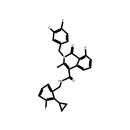 Cc1c(C(=O)NCc2cccc(F)c2C2CC2)c2cccc(F)c2c(=O)n1Cc1ccc(F)c(F)c1